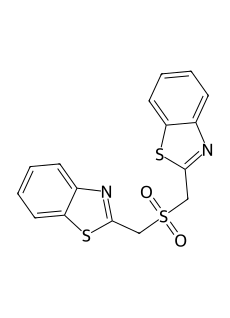 O=S(=O)(Cc1nc2ccccc2s1)Cc1nc2ccccc2s1